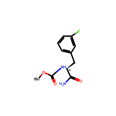 CC(C)(C)OC(=O)N[C@@H](Cc1cccc(F)c1)C(N)=O